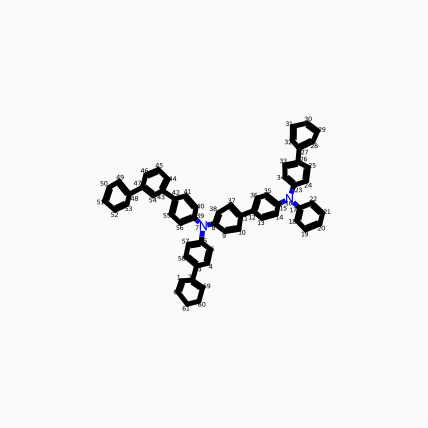 C1=CC(c2ccc(N(c3ccc(-c4ccc(N(c5ccccc5)c5ccc(-c6ccccc6)cc5)cc4)cc3)c3ccc(-c4cccc(-c5ccccc5)c4)cc3)cc2)=CCC1